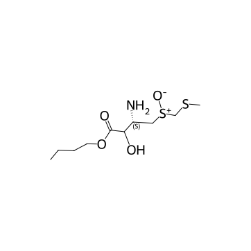 CCCCOC(=O)C(O)[C@H](N)C[S+]([O-])CSC